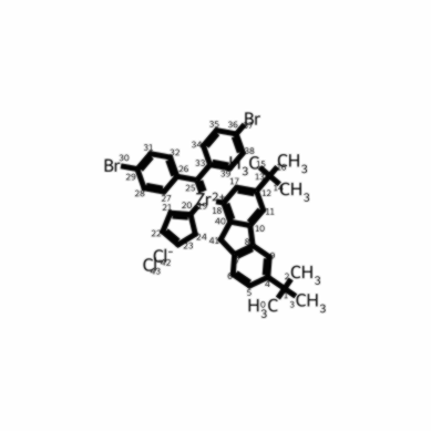 CC(C)(C)c1ccc2c(c1)-c1cc(C(C)(C)C)c[c]([Zr+2]([C]3=CC=CC3)=[C](c3ccc(Br)cc3)c3ccc(Br)cc3)c1C2.[Cl-].[Cl-]